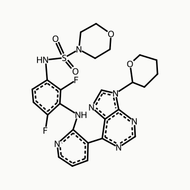 O=S(=O)(Nc1ccc(F)c(Nc2ncccc2-c2ncnc3c2ncn3C2CCCCO2)c1F)N1CCOCC1